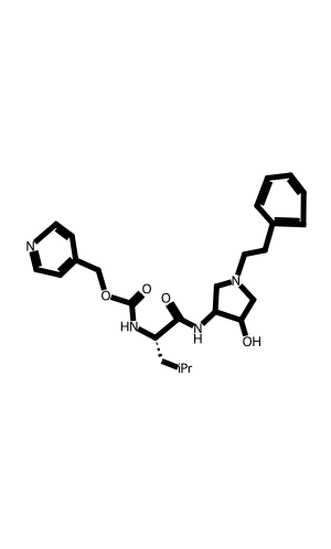 CC(C)C[C@H](NC(=O)OCc1ccncc1)C(=O)NC1CN(CCc2ccccc2)CC1O